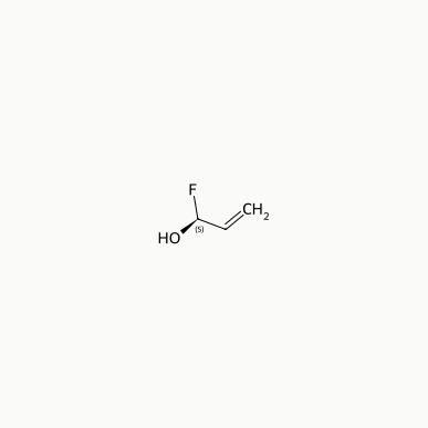 C=C[C@@H](O)F